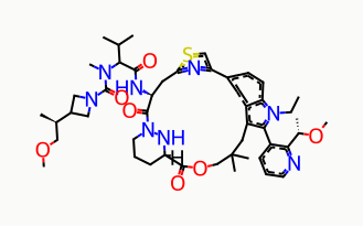 CCn1c(-c2cccnc2[C@H](C)OC)c2c3cc(ccc31)-c1csc(n1)C[C@H](NC(=O)C(C(C)C)N(C)C(=O)N1CC([C@H](C)COC)C1)C(=O)N1CCC[C@H](N1)C(=O)OCC(C)(C)C2